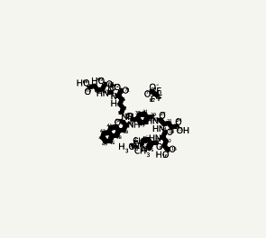 C[N+](C)(C)c1ccc(C(=O)NC(CCC(=O)O)C(=O)NC(CCC(=O)O)C(=O)NCc2ccc(C(=O)NC(Cc3ccc4ccccc4c3)C(=O)NCCCCC(NC(=O)NC(CCC(=O)O)C(=O)O)C(=O)O)cc2)cn1.O=C([O-])C(F)(F)F